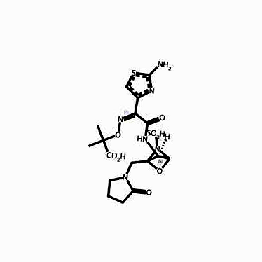 CC(C)(O/N=C(\C(=O)N[C@H]1C2OC1(CN1CCCC1=O)N2S(=O)(=O)O)c1csc(N)n1)C(=O)O